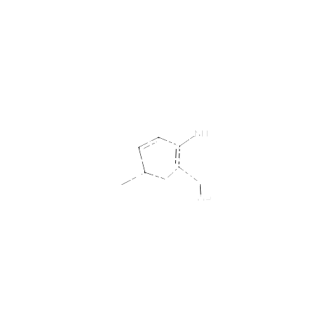 CC1C=CC(N)=C(CO)C1